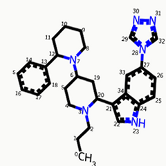 CCCN1CCC(N2CCCCC2c2ccccc2)CC1c1c[nH]c2ccc(-n3cnnc3)cc12